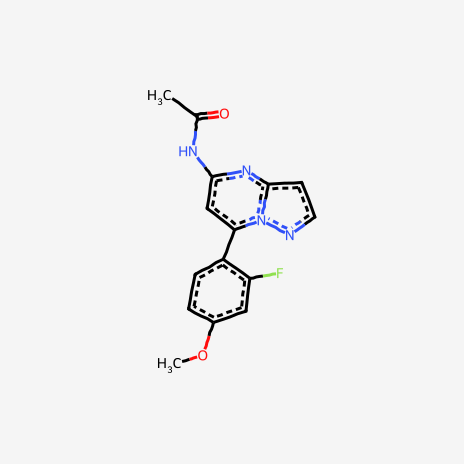 COc1ccc(-c2cc(NC(C)=O)nc3ccnn23)c(F)c1